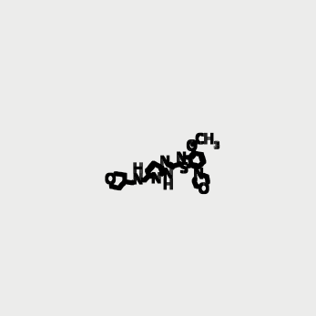 COc1ccc(N2CCOCC2)c2sc(-c3nc4ccc(CNCC5CCOCC5)nc4[nH]3)nc12